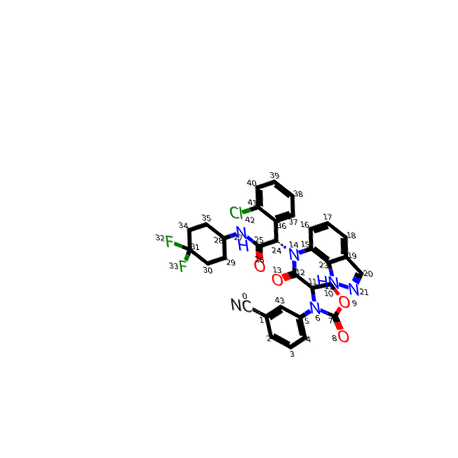 N#Cc1cccc(N2C(=O)OCC2C(=O)N(c2cccc3cn[nH]c23)[C@H](C(=O)NC2CCC(F)(F)CC2)c2ccccc2Cl)c1